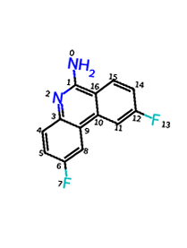 Nc1nc2ccc(F)cc2c2cc(F)ccc12